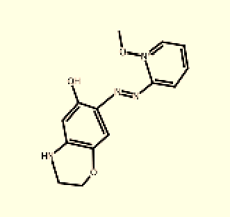 CO[n+]1ccccc1N=Nc1cc2c(cc1O)NCCO2